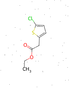 CCOC(=O)Cc1ccc(Cl)s1